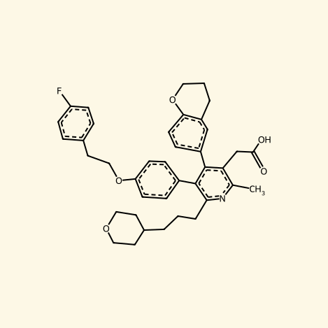 Cc1nc(CCCC2CCOCC2)c(-c2ccc(OCCc3ccc(F)cc3)cc2)c(-c2ccc3c(c2)CCCO3)c1CC(=O)O